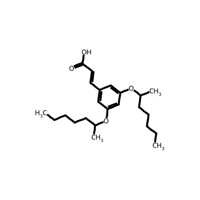 CCCCCC(C)Oc1cc(/C=C/C(=O)O)cc(OC(C)CCCCC)c1